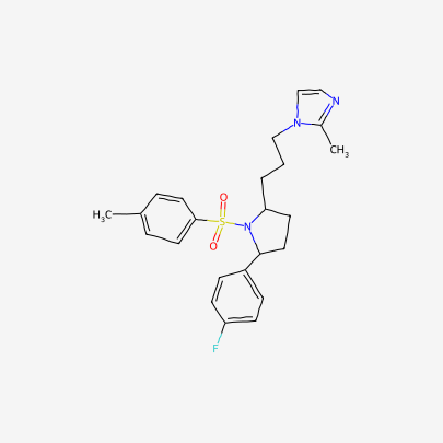 Cc1ccc(S(=O)(=O)N2C(CCCn3ccnc3C)CCC2c2ccc(F)cc2)cc1